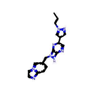 CCCn1cc(-c2cnc3[nH]n(Cc4ccc5nccn5c4)c3n2)cn1